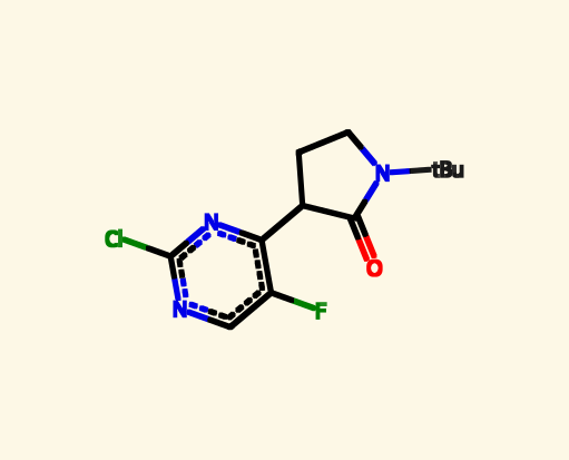 CC(C)(C)N1CCC(c2nc(Cl)ncc2F)C1=O